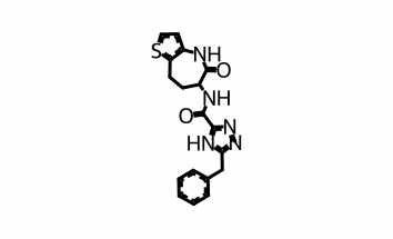 O=C(NC1CCc2sccc2NC1=O)c1nnc(Cc2ccccc2)[nH]1